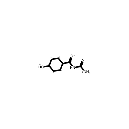 NC(=S)NC(=O)C1CCC(O)CC1